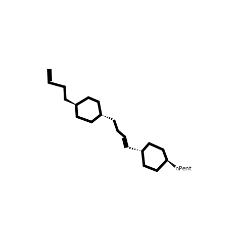 C=CCC[C@H]1CC[C@H](CC/C=C/[C@H]2CC[C@H](CCCCC)CC2)CC1